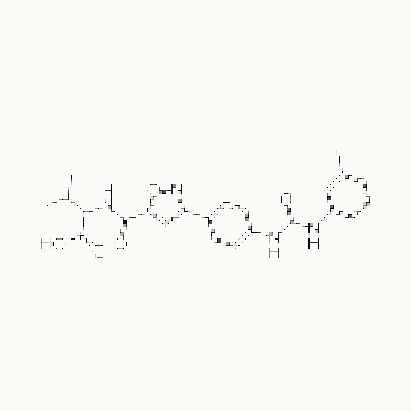 Cc1cccc(NC(=O)Nc2ccc(-c3cc(C(=O)NC(C(=O)O)C(C)C)on3)cc2)c1